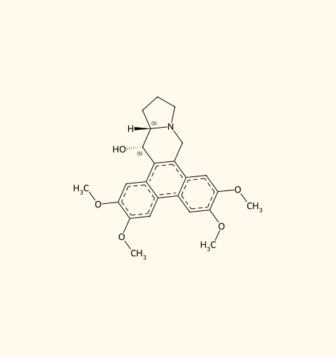 COc1cc2c3c(c4cc(OC)c(OC)cc4c2cc1OC)[C@H](O)[C@@H]1CCCN1C3